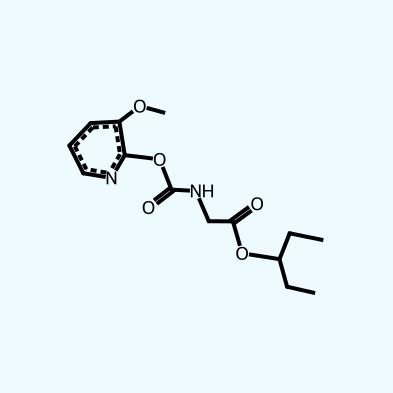 CCC(CC)OC(=O)CNC(=O)Oc1ncccc1OC